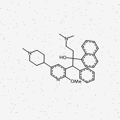 COc1ncc(C2CCN(C)CC2)cc1C(c1ccccc1)C(O)(CCN(C)C)c1cccc2ccccc12